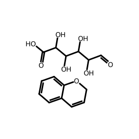 C1=Cc2ccccc2OC1.O=CC(O)C(O)C(O)C(O)C(=O)O